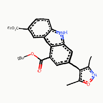 CCOC(=O)c1ccc2[nH]c3cc(-c4c(C)noc4C)cc(C(=O)OC(C)(C)C)c3c2c1